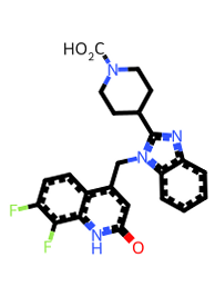 O=C(O)N1CCC(c2nc3ccccc3n2Cc2cc(=O)[nH]c3c(F)c(F)ccc23)CC1